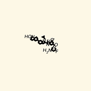 COc1cc(C(=O)N2C[C@H](N)C[C@@H](F)C2)cc2nc(-c3cc4ccc(-c5ccc6nc(O)ccc6c5)cc4n3CC3CC3)n(C)c12